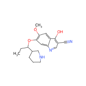 CCC(Oc1cc2ncc(C#N)c(O)c2cc1OC)C1CCCNC1